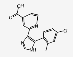 Cc1cc(Cl)ccc1-c1[nH]cnc1-c1cc(C(=O)O)ccn1